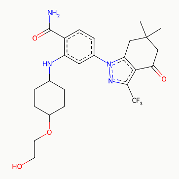 CC1(C)CC(=O)c2c(C(F)(F)F)nn(-c3ccc(C(N)=O)c(NC4CCC(OCCO)CC4)c3)c2C1